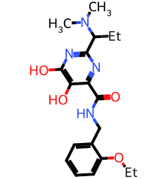 CCOc1ccccc1CNC(=O)c1nc(C(CC)N(C)C)nc(O)c1O